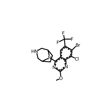 COc1nc(N2C3CCC2CNC3)c2cc(C(F)(F)F)c(Br)c(Cl)c2n1